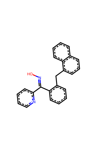 ON=C(c1ccccn1)c1ccccc1Cc1cccc2ccccc12